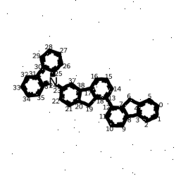 c1ccc2c(c1)Cc1c-2cccc1-c1cccc2c1Cc1ccc(-n3c4ccccc4c4ccccc43)cc1-2